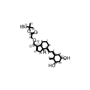 C=C1C(=CC=C2CCC[C@]3(C)C([C@H](C)OCC(=O)OC(C)(C)C(C)(C)C)=CC[C@@H]23)C[C@@H](O)C[C@@H]1O